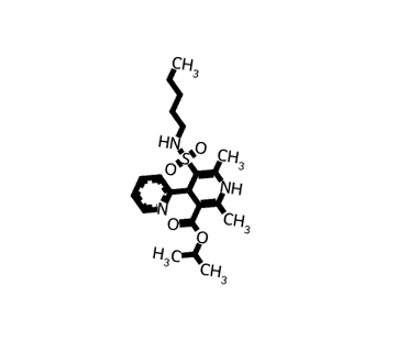 CCCCCNS(=O)(=O)C1=C(C)NC(C)=C(C(=O)OC(C)C)C1c1ccccn1